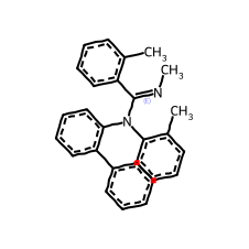 C/N=C(\c1ccccc1C)N(c1ccccc1C)c1ccccc1-c1ccccc1